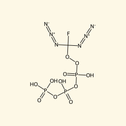 [N-]=[N+]=NC(F)(N=[N+]=[N-])OOP(=O)(O)OP(=O)(O)OP(=O)(O)O